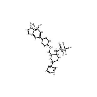 Cn1ncc2cc(C3CCC(OC[C@@H]4CN(c5cccnn5)CC[C@@H]4NS(=O)(=O)C(F)(F)F)CC3)cc(F)c21